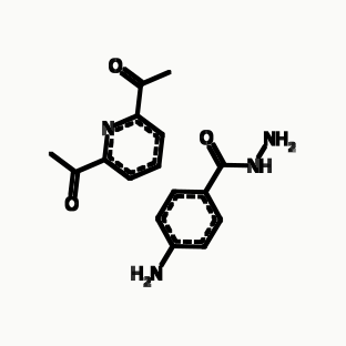 CC(=O)c1cccc(C(C)=O)n1.NNC(=O)c1ccc(N)cc1